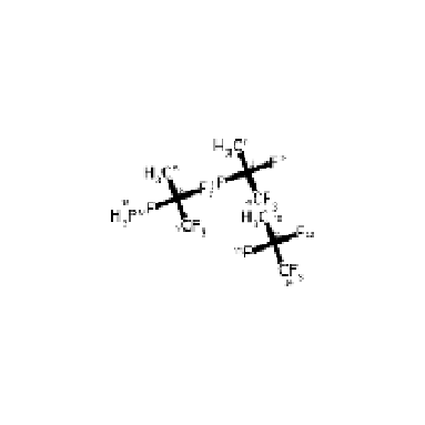 CC(F)(F)C(F)(F)F.CC(F)(F)C(F)(F)F.CC(F)(F)C(F)(F)F.P